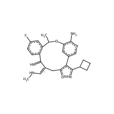 CN/C=C1/Cc2onc(C3CCC3)c2-c2cnc(N)c(c2)OC(C)c2cc(F)ccc2C1=N